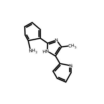 Cc1nc(-c2ccccc2N)[nH]c1-c1ccccn1